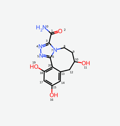 NC(=O)c1nnc2n1CCC(O)Cc1cc(O)cc(O)c1-2